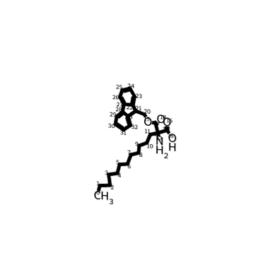 CCCCCCCCCCCCC(N)(C(=O)O)C(=O)OCC1c2ccccc2-c2ccccc21